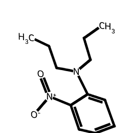 CCCN(CCC)c1ccccc1[N+](=O)[O-]